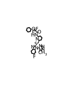 Cn1nnnc1-n1c(SCc2cccc(NC(=O)C(F)(F)Oc3ccccc3)n2)nc2ccc(F)cc21